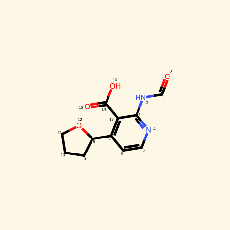 O=CNc1nccc(C2CCCO2)c1C(=O)O